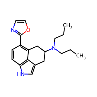 CCCN(CCC)C1Cc2c[nH]c3ccc(-c4ncco4)c(c23)C1